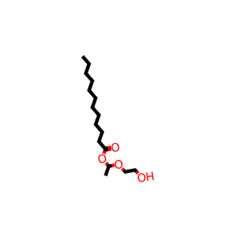 CCCCCCCCCCCC(=O)OC(C)OCCO